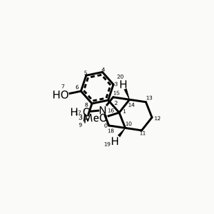 COC1(c2cccc(O)c2F)[C@@H]2CCC[C@H]1CN(C)C2